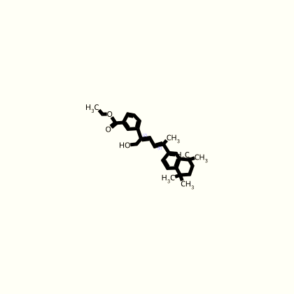 CCOC(=O)c1cccc(/C(=C/C=C(\C)c2ccc3c(c2)C(C)(C)CCC3(C)C)CO)c1